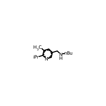 CCCCNCc1cnc(C(C)C)c(C)c1